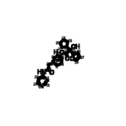 O=C(C[N+]12CCC(CC1)[C@@H](OC(=O)C(O)(c1ccco1)C1CCCC1)C2)Nc1ccncn1